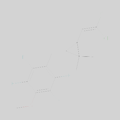 COc1c(F)c(F)c(C[C@@H]2C(C=C(Cl)Cl)C2(C)C)c(F)c1F